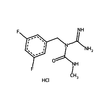 CNC(=O)N(Cc1cc(F)cc(F)c1)C(=N)N.Cl